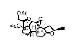 C#CCC[C@@]1(C)C(=O)CC[C@H]2[C@@H]3CC[C@](OC(C)=O)(C(=O)COC(C)=O)[C@@]3(C)CC(=O)[C@@]21F